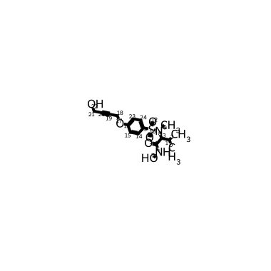 CC(C)C(C(=O)NO)N(C)S(=O)(=O)c1ccc(OCC#CCO)cc1